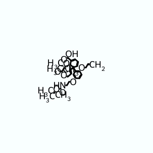 C=CCOc1ccc(OCCNC(=O)OC(C)(C)C)cc1C1(C=CC=O)C=CC=C(C(=O)O)C1(OCC=O)OC(C)(C)C